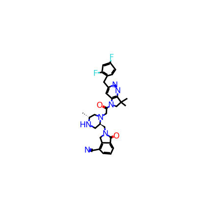 C[C@@H]1CN(CC(=O)N2CC(C)(C)c3nnc(Cc4ccc(F)cc4F)cc32)[C@@H](CN2Cc3c(C#N)cccc3C2=O)CN1